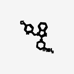 N[C@H]1CCCN(c2nc3ccccc3n2Cc2ccc(Cl)cn2)C1